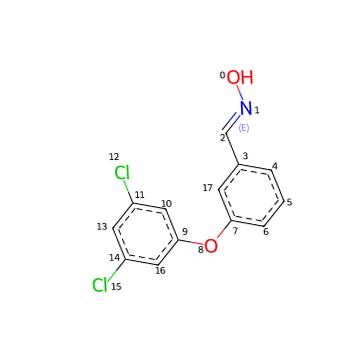 O/N=C/c1cccc(Oc2cc(Cl)cc(Cl)c2)c1